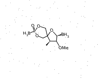 B[C@@H]1OC2(COP(B)(=O)OC2)[C@H](C)C1OC